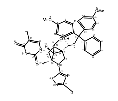 COc1ccc(C(OC[C@@]23CN(c4nc(C)ns4)[C@@H]([C@H](n4cc(C)c(=O)[nH]c4=O)O2)[C@@H]3CC(=O)O)(c2ccccc2)c2ccc(OC)cc2)cc1